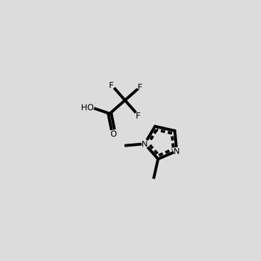 Cc1nccn1C.O=C(O)C(F)(F)F